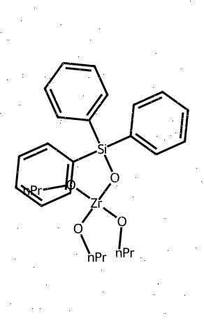 CCC[O][Zr]([O]CCC)([O]CCC)[O][Si](c1ccccc1)(c1ccccc1)c1ccccc1